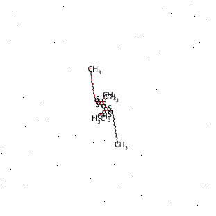 CCCCCCCCCCCCCCCCc1cc2sc3c(c2s1)C(CCCC)(CCCC)c1cc2c(cc1-3)C(CCCC)(CCCC)c1c-2sc2cc(CCCCCCCCCCCCCCCC)sc12